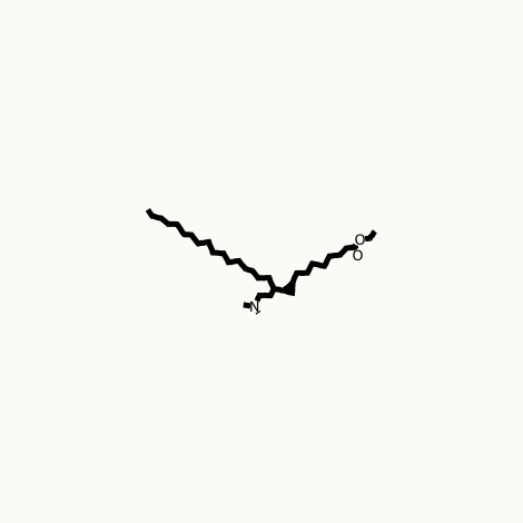 CCCCCCCCCCCCCCCCCC(CCN(C)C)C1CC1CCCCCCCC(=O)OCC